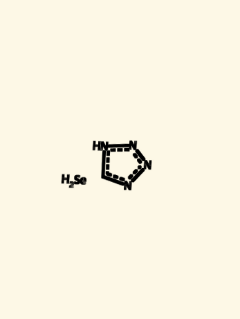 [SeH2].c1nnn[nH]1